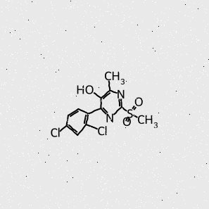 Cc1nc(S(C)(=O)=O)nc(-c2ccc(Cl)cc2Cl)c1O